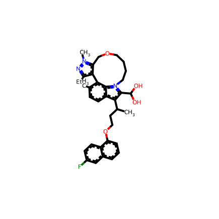 CCc1nn(C)c2c1-c1c(C)ccc3c(C(C)CCOc4cccc5cc(F)ccc45)c(C(O)O)n(c13)CCCCOC2